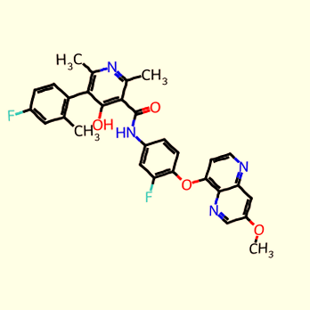 COc1cnc2c(Oc3ccc(NC(=O)c4c(C)nc(C)c(-c5ccc(F)cc5C)c4O)cc3F)ccnc2c1